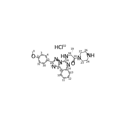 COc1ccc(-c2nc3c4ccccc4nc(N[C@H](C)C(=O)N4CCNCC4)n3n2)cc1.Cl